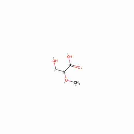 COC(CO)C(=O)O